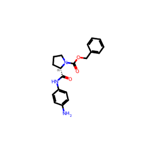 Nc1ccc(NC(=O)[C@@H]2CCCN2C(=O)OCc2ccccc2)cc1